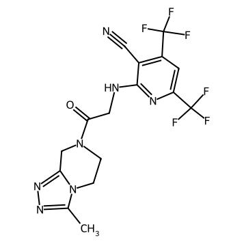 Cc1nnc2n1CCN(C(=O)CNc1nc(C(F)(F)F)cc(C(F)(F)F)c1C#N)C2